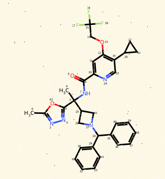 Cc1nnc(C(C)(NC(=O)c2cc(OCC(F)(F)F)c(C3CC3)cn2)C2CN(C(c3ccccc3)c3ccccc3)C2)o1